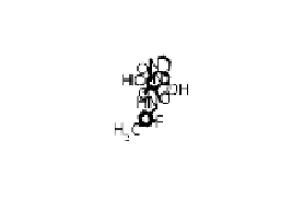 Cc1ccc(CNC(=O)c2c3n4c(c(O)c2=O)C(=O)N2CCCC[C@]4(C[C@@H]3O)C2)c(F)c1